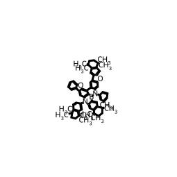 CC1(C)CCC(C)(C)c2cc(N3c4cc5c(cc4B4c6c3cc3c(oc7ccccc73)c6-c3cc6c(cc3N4c3ccccc3)oc3cc4c(cc36)C(C)(C)CCC4(C)C)C(C)(C)CCC5(C)C)ccc21